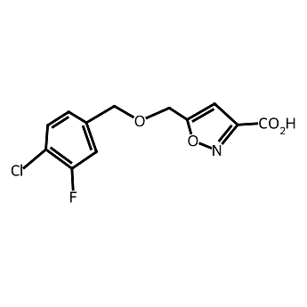 O=C(O)c1cc(COCc2ccc(Cl)c(F)c2)on1